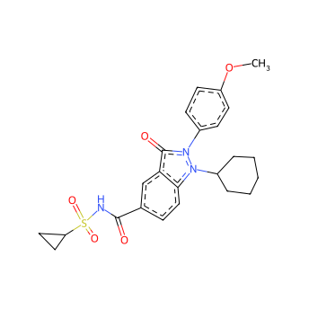 COc1ccc(-n2c(=O)c3cc(C(=O)NS(=O)(=O)C4CC4)ccc3n2C2CCCCC2)cc1